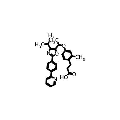 Cc1cc(OC(C)c2oc(-c3ccc(-c4ccccn4)cc3)nc2C(C)C)ccc1CCC(=O)O